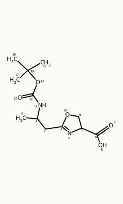 CC(CC1=NC(C(=O)O)CO1)NC(=O)OC(C)(C)C